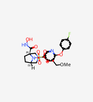 COCCOC(=O)N1C[C@@H]2CC[C@](C(=O)NO)(C1)N2S(=O)(=O)c1ccc(Oc2ccc(F)cc2)nc1